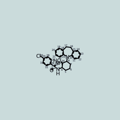 N=S(=O)(NC1CCCC(N2c3ccccc3CCc3ccccc32)C1O)c1ccc(Cl)cc1